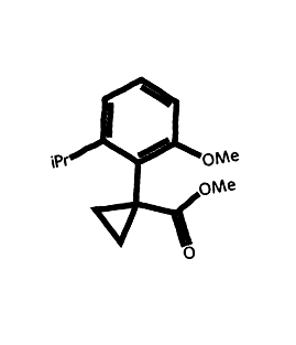 COC(=O)C1(c2c(OC)cccc2C(C)C)CC1